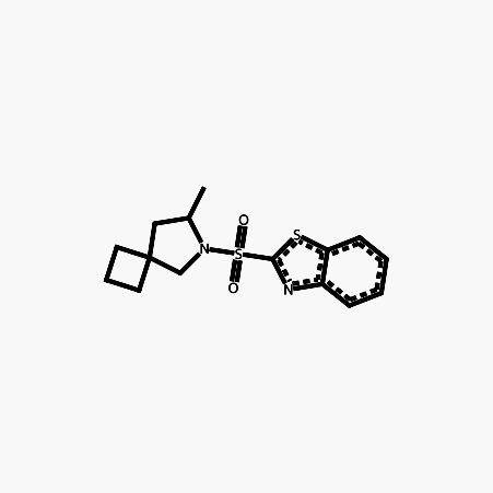 CC1CC2(CCC2)CN1S(=O)(=O)c1nc2ccccc2s1